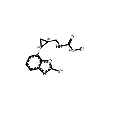 CCNC(=O)NC[C@@H]1C[C@H]1c1cccc2nc(C(C)C)oc12